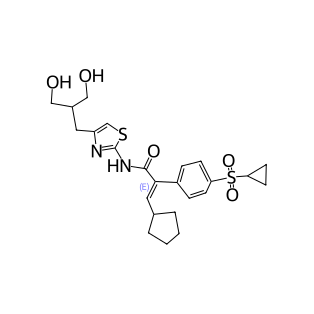 O=C(Nc1nc(CC(CO)CO)cs1)/C(=C/C1CCCC1)c1ccc(S(=O)(=O)C2CC2)cc1